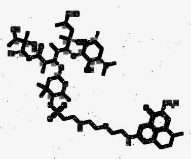 CC[C@@H](OC(=O)[C@H](C)[C@@H](O[C@H]1CC(C)(C)[C@@H](OS(=O)(=O)CCNCCOCCNc2cc3c4c(c2)c(=O)c(C(=O)O)cn4C(C)CC3)[C@H](C)O1)C(C)[C@@H](O[C@@H]1O[C@H](C)C[C@H](N(C)C)[C@H]1O)[C@@](C)(C[C@@H](C)C=O)OC)[C@@](C)(O)[C@@H](C)O